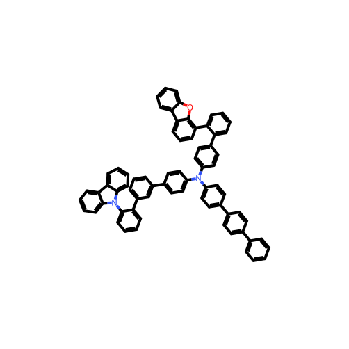 c1ccc(-c2ccc(-c3ccc(N(c4ccc(-c5cccc(-c6ccccc6-n6c7ccccc7c7ccccc76)c5)cc4)c4ccc(-c5ccccc5-c5cccc6c5oc5ccccc56)cc4)cc3)cc2)cc1